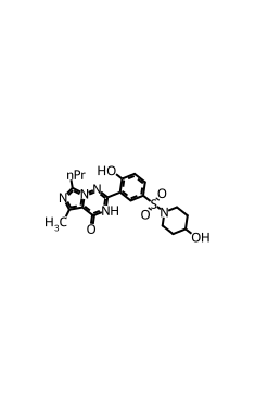 CCCc1nc(C)c2c(=O)[nH]c(-c3cc(S(=O)(=O)N4CCC(O)CC4)ccc3O)nn12